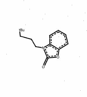 CC(C)(C)CCCn1c(=O)oc2ccccc21